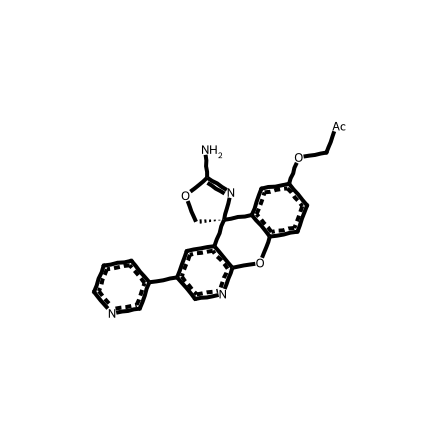 CC(=O)COc1ccc2c(c1)[C@@]1(COC(N)=N1)c1cc(-c3cccnc3)cnc1O2